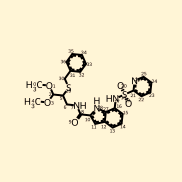 COC(OC)C(CNC(=O)c1cc2cccc(NS(=O)(=O)c3ccccn3)c2[nH]1)SCc1ccccc1